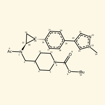 CC(=O)N(CC1CCN(C(=O)OC(C)(C)C)CC1)[C@H]1C[C@@H]1c1ccc(-c2cnn(C)c2)cc1